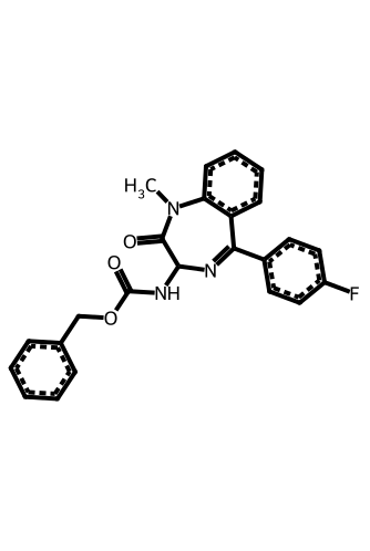 CN1C(=O)C(NC(=O)OCc2ccccc2)N=C(c2ccc(F)cc2)c2ccccc21